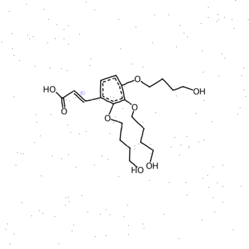 O=C(O)/C=C/c1ccc(OCCCCO)c(OCCCCO)c1OCCCCO